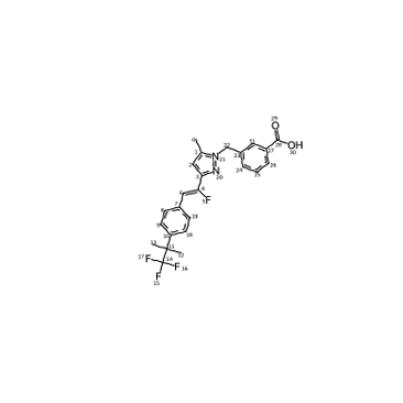 Cc1cc(C(F)=Cc2ccc(C(C)(C)C(F)(F)F)cc2)nn1Cc1cccc(C(=O)O)c1